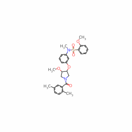 COc1ccccc1S(=O)(=O)N(C)c1cccc(OC2CN(C(=O)c3cc(C)ccc3C)CC2OC)c1